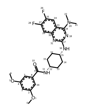 COc1cc(OC)cc(C(=O)N[C@H]2CC[C@@H](Nc3nc(N(C)C)c4cc(F)c(F)cc4n3)CC2)c1